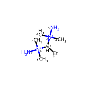 CC[SiH]([N+](C)(C)N)[N+](C)(C)N